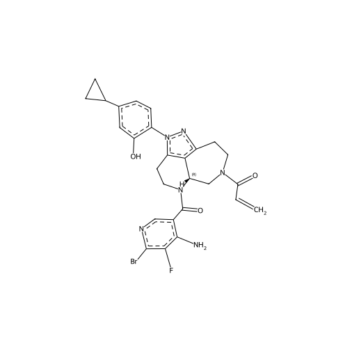 C=CC(=O)N1CCc2nn(-c3ccc(C4CC4)cc3O)c3c2[C@H](C1)N(C(=O)c1cnc(Br)c(F)c1N)CC3